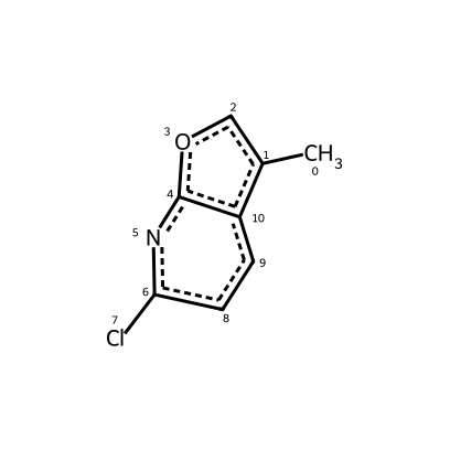 Cc1coc2nc(Cl)ccc12